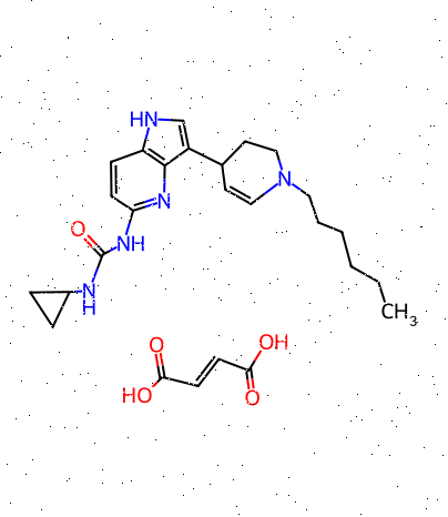 CCCCCCN1C=CC(c2c[nH]c3ccc(NC(=O)NC4CC4)nc23)CC1.O=C(O)C=CC(=O)O